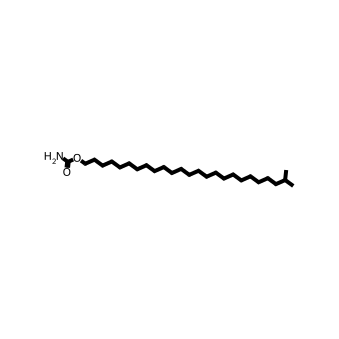 CC(C)CCCCCCCCCCCCCCCCCCCCCCCOC(N)=O